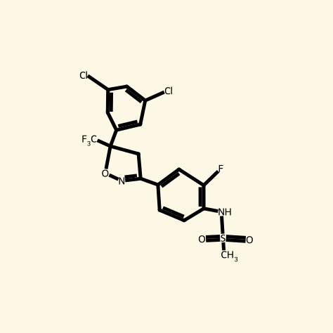 CS(=O)(=O)Nc1ccc(C2=NOC(c3cc(Cl)cc(Cl)c3)(C(F)(F)F)C2)cc1F